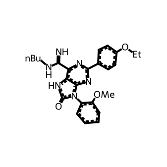 CCCCNC(=N)c1nc(-c2ccc(OCC)cc2)nc2c1[nH]c(=O)n2-c1ccccc1OC